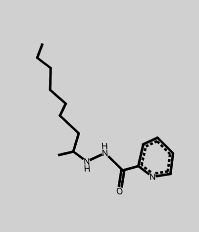 CCCCCCCC(C)NNC(=O)c1ccccn1